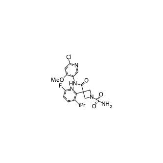 COc1cc(Cl)ncc1NC(=O)C1(c2nc(F)ccc2C(C)C)CN(S(N)(=O)=O)C1